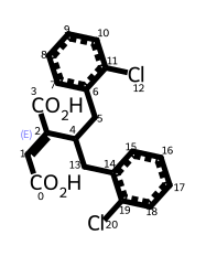 O=C(O)/C=C(/C(=O)O)C(Cc1ccccc1Cl)Cc1ccccc1Cl